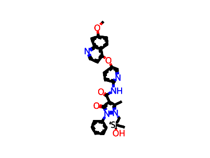 COc1ccc2c(Oc3ccc(NC(=O)c4c(C)n(C[Si](C)(C)O)n(-c5ccccc5)c4=O)nc3)ccnc2c1